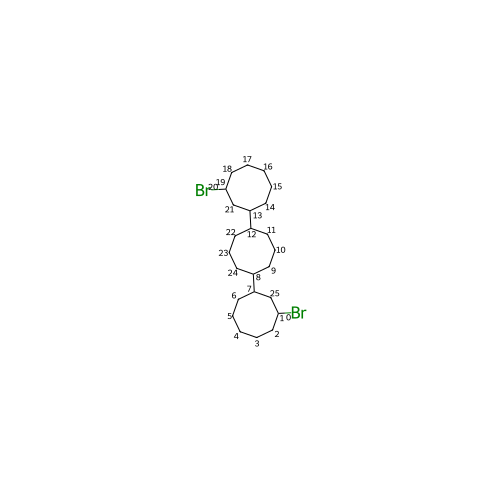 BrC1CCCCCC(C2CCCC(C3CCCCCC(Br)C3)CCC2)C1